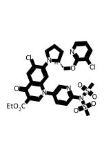 CCOC(=O)c1cn(-c2ccc(N(S(C)(=O)=O)S(C)(=O)=O)nc2)c2cc(N3CCC[C@@H]3COc3ncccc3Cl)c(Cl)cc2c1=O